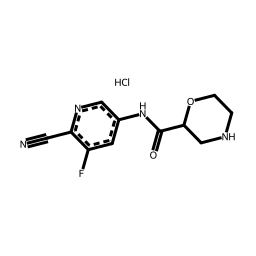 Cl.N#Cc1ncc(NC(=O)C2CNCCO2)cc1F